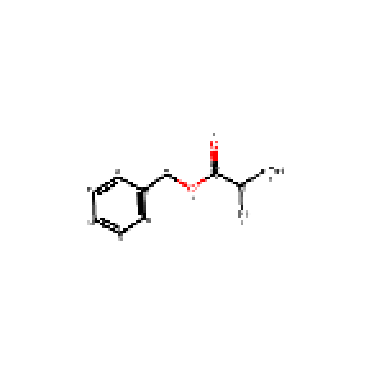 CCCCCCCCC(CC)C(=O)OCc1ccccc1